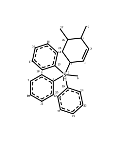 CC1C=CC([SH](C)(c2ccccc2)(c2ccccc2)c2ccccc2)CC1C